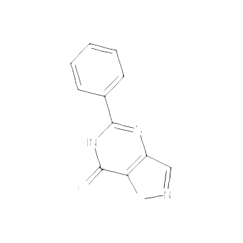 O=c1[nH]c(-c2ccccc2)nc2cnsc12